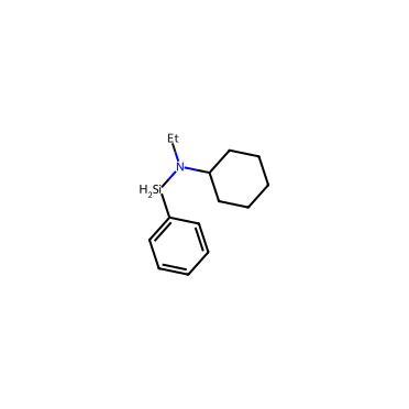 CCN([SiH2]c1ccccc1)C1CCCCC1